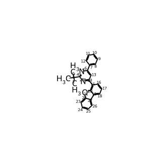 CC(C)(C)c1nc(-c2ccccc2)cc(-c2cccc3c2oc2ccccc23)n1